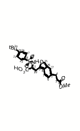 COC(=O)CCc1ccc2c(CC(NS(=O)(=O)c3ccc(C(C)(C)C)cc3)C(=O)O)occ2c1